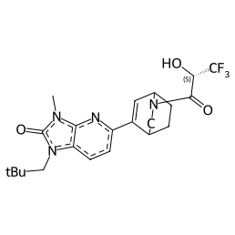 Cn1c(=O)n(CC(C)(C)C)c2ccc(C3=CC4CCC3CN4C(=O)[C@H](O)C(F)(F)F)nc21